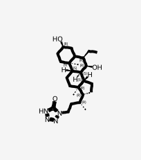 CC[C@@H]1C2C[C@H](O)CC[C@]2(C)[C@H]2CC[C@]3(C)[C@@H]([C@H](C)CCn4nn[nH]c4=O)CC[C@H]3[C@@H]2[C@@H]1O